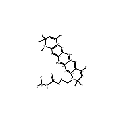 CC1=CC(C)(C)N(C)c2cc3c(cc21)N=c1cc2c(cc1=[SH]3)N(CCCC(=O)NC(C)C)C(C)(C)C=C2C